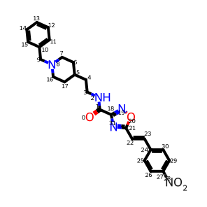 O=C(NCCC1CCN(Cc2ccccc2)CC1)c1noc(/C=C/c2ccc([N+](=O)[O-])cc2)n1